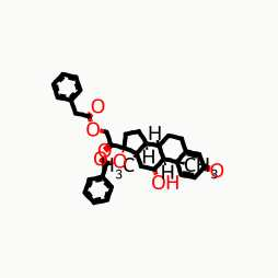 C[C@]12C=CC(=O)C=C1CC[C@@H]1[C@@H]2C(O)C[C@@]2(C)[C@H]1CC[C@]2(OC(=O)c1ccccc1)C(=O)COC(=O)Cc1ccccc1